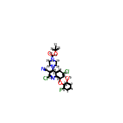 COc1cccc(F)c1Oc1cc(Cl)cc2c(N3CCN(C(=O)OC(C)(C)C)CC3)c(C#N)c(Cl)nc12